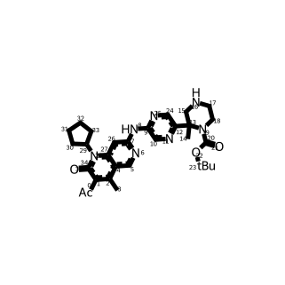 CC(=O)c1c(C)c2cnc(Nc3cnc(C4(C)CNCCN4C(=O)OC(C)(C)C)cn3)cc2n(C2CCCC2)c1=O